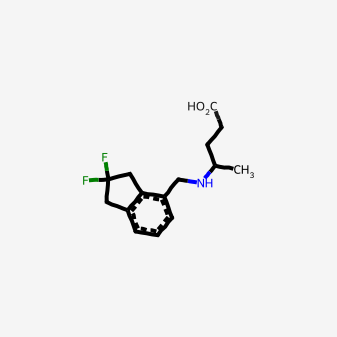 CC(CCC(=O)O)NCc1cccc2c1CC(F)(F)C2